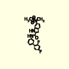 CN(c1ccc2cc(C(=O)Nc3cccc(-c4ccc(F)cc4F)c3)[nH]c2c1)S(C)(=O)=O